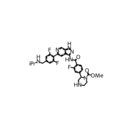 COC(=O)N1CCNCC1c1ccc(C(=O)Nc2n[nH]c3cnc(-c4c(F)cc(CNC(C)C)cc4F)cc23)c(F)c1